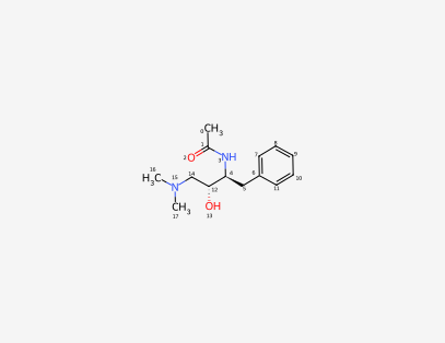 CC(=O)N[C@@H](Cc1ccccc1)[C@H](O)CN(C)C